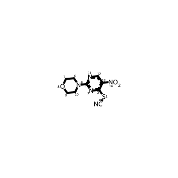 N#CSc1nc(N2CCOCC2)ncc1[N+](=O)[O-]